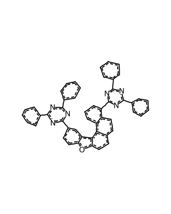 c1ccc(-c2nc(-c3ccccc3)nc(-c3ccc4oc5ccc6ccc7c(-c8nc(-c9ccccc9)nc(-c9ccccc9)n8)cccc7c6c5c4c3)n2)cc1